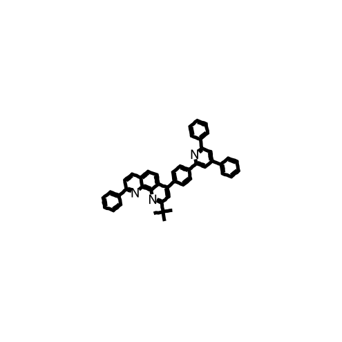 CC(C)(C)c1cc(-c2ccc(-c3cc(-c4ccccc4)cc(-c4ccccc4)n3)cc2)c2ccc3ccc(-c4ccccc4)nc3c2n1